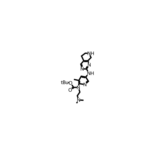 Cc1cc(Nc2ncc3c(n2)CNCC3)cnc1N(CCN(C)C)C(=O)OC(C)(C)C